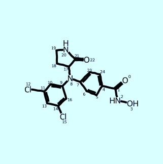 O=C(NO)c1ccc(N(c2cc(Cl)cc(Cl)c2)C2CCNC2=O)cc1